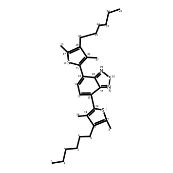 CCCCCCc1c(C)sc(-c2ccc(-c3sc(C)c(CCCCCC)c3C)c3nsnc23)c1C